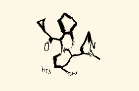 Cl.Cn1nccc1/C=C1\CN(C(C(=O)C2CC2)c2ccccc2F)CCC1S